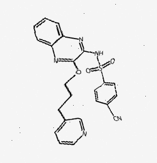 N#Cc1ccc(S(=O)(=O)Nc2nc3ccccc3nc2OCCCc2cccnc2)cc1